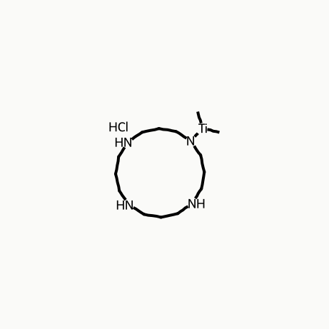 Cl.[CH3][Ti]([CH3])[N]1CCCNCCCNCCCNCCC1